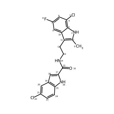 Cc1[nH]c2c(Cl)cc(F)cc2c1CCNC(=O)c1cc2cc(Cl)ccc2[nH]1